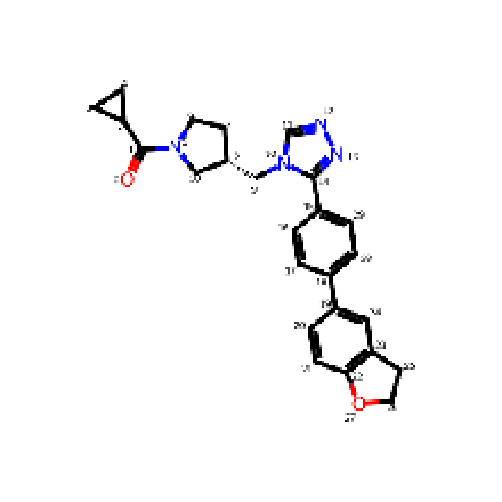 O=C(C1CC1)N1CC[C@H](Cn2cnnc2-c2ccc(-c3ccc4c(c3)CCO4)cc2)C1